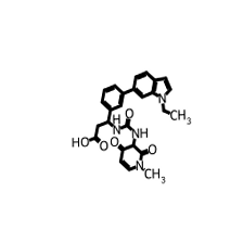 CCn1ccc2ccc(-c3cccc(C(CC(=O)O)NC(=O)NC4C(=O)C=CN(C)C4=O)c3)cc21